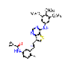 COc1cc(Nc2ncnc3c(/C=C/c4cc(NC(=O)C5CC5)ccc4C)csc23)cc(OC)c1OC